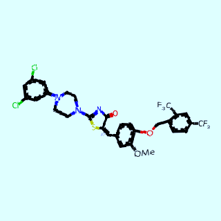 COc1cc(/C=C2/SC(N3CCN(c4cc(Cl)cc(Cl)c4)CC3)=NC2=O)ccc1OCc1ccc(C(F)(F)F)cc1C(F)(F)F